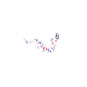 CCCCCCCCC(NC(=O)[C@@H]1CCCN1C(=O)c1ccc2[nH]ccc2c1)C(=O)NC(CC(C)C)C(=O)NC(C)(C)C(=O)NC(CC(C)C)C(=O)NC(CC(C)C)C(=O)NC(C)(C)C(=O)NC(C)(C)C(=O)NCCC(=O)NC(C)CN(C)C